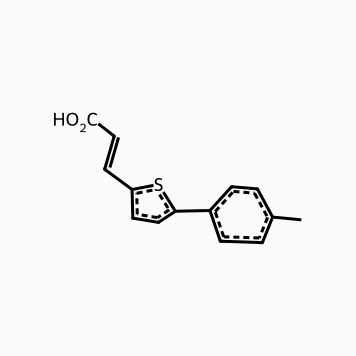 Cc1ccc(-c2ccc(C=CC(=O)O)s2)cc1